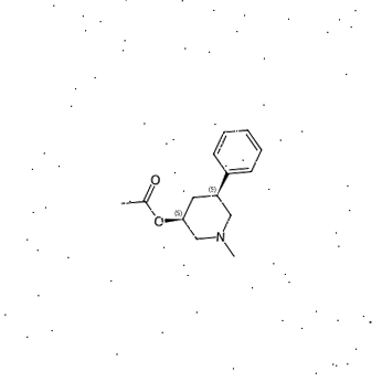 CC(=O)O[C@H]1C[C@@H](c2ccccc2)CN(C)C1